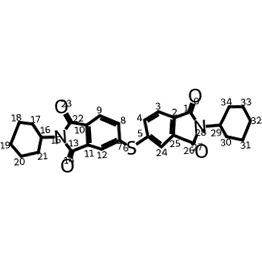 O=C1c2ccc(Sc3ccc4c(c3)C(=O)N(C3CCCCC3)C4=O)cc2C(=O)N1C1CCCCC1